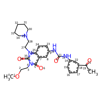 COCCn1c(=O)c2cc(NC(=O)Nc3cccc(C(C)=O)c3)ccc2n(CCN2CCCCC2)c1=O